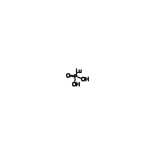 O=[P](O)(O)[Lu]